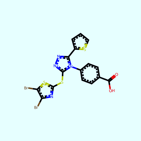 O=C(O)c1ccc(-n2c(Sc3nc(Br)c(Br)s3)nnc2-c2cccs2)cc1